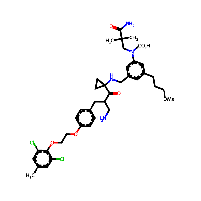 COCCCc1cc(CNC2(C(=O)C(CN)Cc3ccc(OCCOc4c(Cl)cc(C)cc4Cl)cc3)CC2)cc(N(CC(C)(C)C(N)=O)C(=O)O)c1